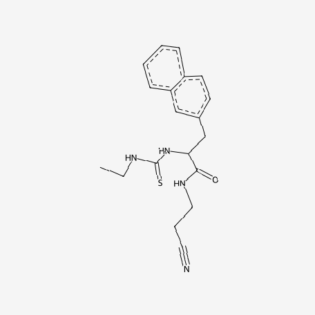 CCNC(=S)NC(Cc1ccc2ccccc2c1)C(=O)NCCC#N